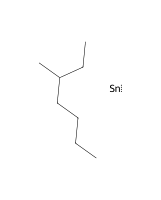 CCCCC(C)CC.[Sn]